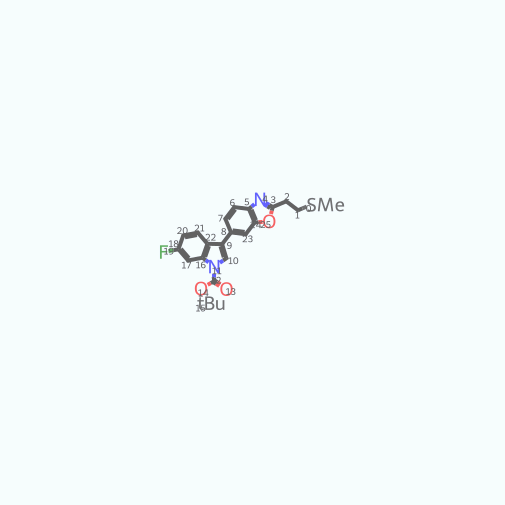 CSCCc1nc2ccc(-c3cn(C(=O)OC(C)(C)C)c4cc(F)ccc34)cc2o1